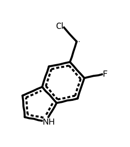 Fc1cc2[nH]ccc2cc1[CH]Cl